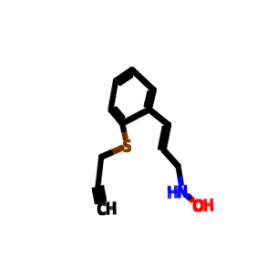 C#CCSc1ccccc1/C=C/CNO